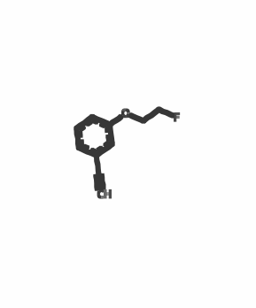 C#Cc1cccc(OCCF)c1